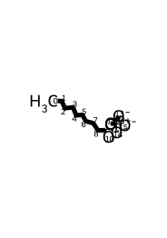 CCCCCCCCCC(=O)O[Cl+3]([O-])([O-])[O-]